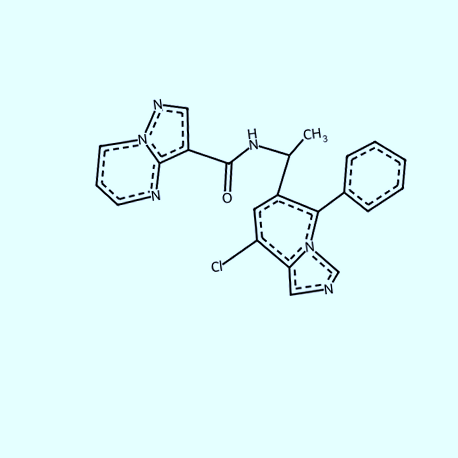 CC(NC(=O)c1cnn2cccnc12)c1cc(Cl)c2cncn2c1-c1ccccc1